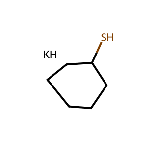 SC1CCCCC1.[KH]